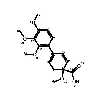 COc1ccc(C2=CCC(OC)(C(=O)O)C=C2)c(OC)c1OC